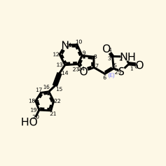 O=C1NC(=O)/C(=C\c2cc3cncc(C#Cc4ccc(O)cc4)c3o2)S1